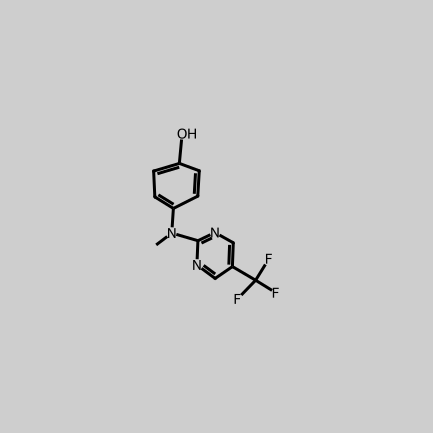 CN(c1ccc(O)cc1)c1ncc(C(F)(F)F)cn1